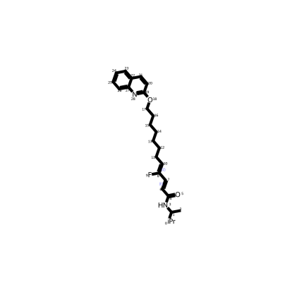 CC(C)C(C)NC(=O)/C=C/C(F)=C/CCCCCCCOc1ccc2ccccc2n1